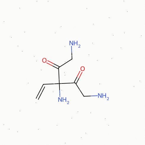 C=CC(N)(C(=O)CN)C(=O)CN